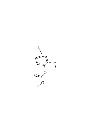 COC(=O)Oc1ccc(I)cc1OC